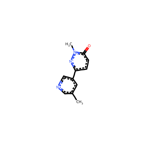 Cc1cncc(-c2ccc(=O)n(C)n2)c1